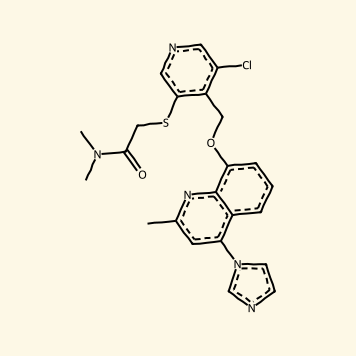 Cc1cc(-n2ccnc2)c2cccc(OCc3c(Cl)cncc3SCC(=O)N(C)C)c2n1